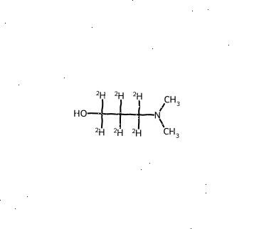 [2H]C([2H])(O)C([2H])([2H])C([2H])([2H])N(C)C